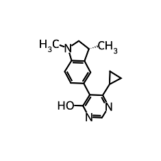 C[C@H]1CN(C)c2ccc(-c3c(O)ncnc3C3CC3)cc21